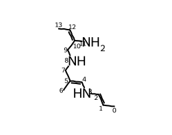 C/C=C/N/C=C(\C)CNC/C(N)=C\C